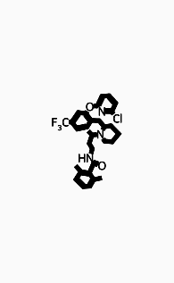 Cc1cccc(C)c1C(=O)NCCC(C)N1CCCCC1Cc1ccc(C(F)(F)F)cc1Oc1cccc(Cl)n1